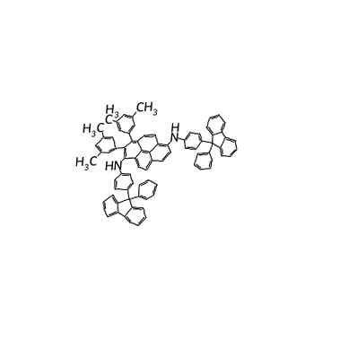 Cc1cc(C)cc(-c2c(Nc3ccc(C4(c5ccccc5)c5ccccc5-c5ccccc54)cc3)c3ccc4ccc(Nc5ccc(C6(c7ccccc7)c7ccccc7-c7ccccc76)cc5)c5ccc(c2-c2cc(C)cc(C)c2)c3c45)c1